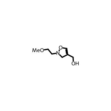 COCCN1CC(CO)=CO1